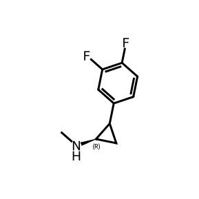 CN[C@@H]1CC1c1ccc(F)c(F)c1